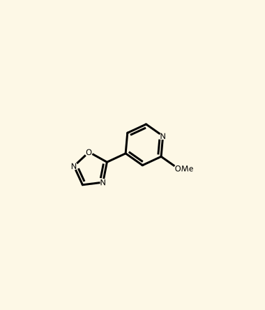 COc1cc(-c2ncno2)ccn1